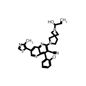 C=CC(O)N1CC2(CCN(c3nc4cc(-c5scnc5C)cnc4c(-c4ccccc4Cl)c3C#N)C2)C1